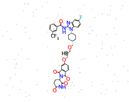 O=C1CCC(N2C(=O)c3ccc(OCBCOC[C@H]4CC[C@@H](n5c(NC(=O)c6cccc(C(F)(F)F)c6)nc6cc(F)ccc65)CC4)cc3C2=O)C(=O)N1